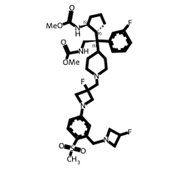 COC(=O)NC[C@@](c1cccc(F)c1)(C1CCN(CC2(F)CN(c3ccc(S(C)(=O)=O)c(CN4CC(F)C4)c3)C2)CC1)[C@H]1CCC[C@@H]1NC(=O)OC